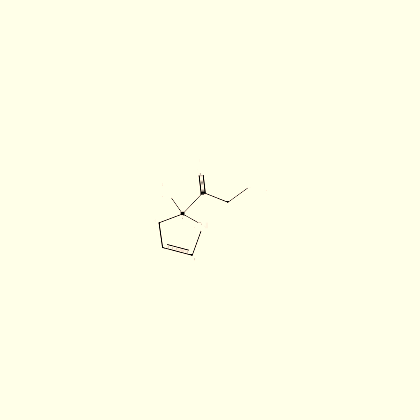 CCC(=O)C1(C)CC=CN1